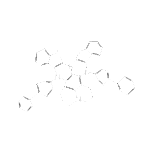 c1ccc(-c2ccc(N3c4c5c6c(c7c4B(c4sc8ccccc8c43)c3sc4ccccc4c3N7c3ccc(-c4ccccc4)cc3)CCCN6CCC5)cc2)cc1